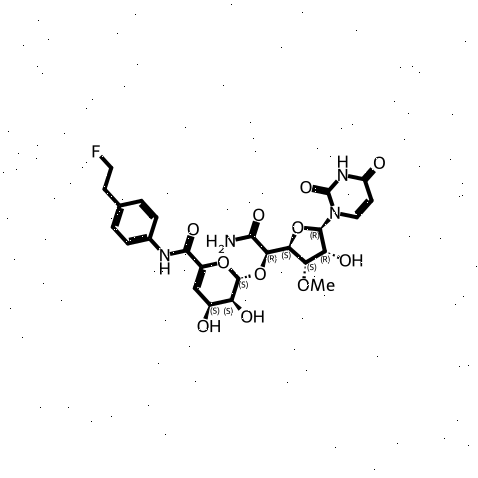 CO[C@H]1[C@@H](O)[C@H](n2ccc(=O)[nH]c2=O)O[C@@H]1[C@@H](O[C@H]1OC(C(=O)Nc2ccc(CCF)cc2)=C[C@H](O)[C@@H]1O)C(N)=O